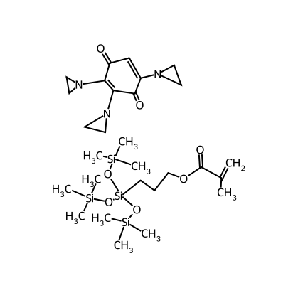 C=C(C)C(=O)OCCC[Si](O[Si](C)(C)C)(O[Si](C)(C)C)O[Si](C)(C)C.O=C1C=C(N2CC2)C(=O)C(N2CC2)=C1N1CC1